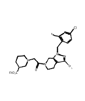 CCOC(=O)C1CCCN(CC(=O)N2CCc3c(C(F)(F)F)nn(Cc4ccc(Cl)cc4F)c3C2)C1